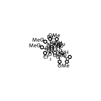 COc1ccc(COCC2O[C@@H](O[C@@H]3C(NC(=O)Nc4cccc(C(F)(F)F)c4)COC(COCc4ccc(OC)cc4)[C@@H]3NC(=O)C(CCC(=O)OC(C)(C)C)NC(=O)OCC3c4ccccc4-c4ccccc43)C(NC(=O)Nc3cccc(C(F)(F)F)c3)[C@@H](OCc3ccc(OC)cc3)[C@@H]2OCc2ccc(OC)cc2)cc1